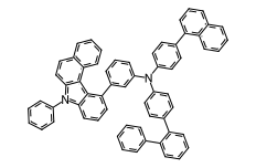 c1ccc(-c2ccccc2-c2ccc(N(c3ccc(-c4cccc5ccccc45)cc3)c3cccc(-c4cccc5c4c4c6ccccc6ccc4n5-c4ccccc4)c3)cc2)cc1